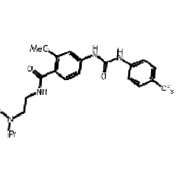 COc1cc(NC(=O)Nc2ccc(C(F)(F)F)cc2)ccc1C(=O)NCCN(C(C)C)C(C)C